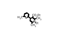 CCOC(=O)C1=C(C)N(CC)C(C)=CC1c1cccc(C)n1